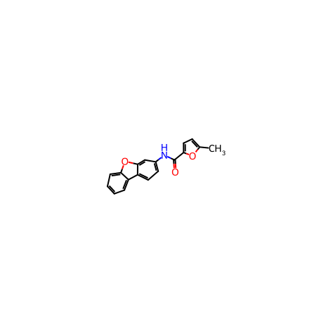 Cc1ccc(C(=O)Nc2ccc3c(c2)oc2ccccc23)o1